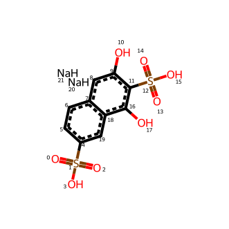 O=S(=O)(O)c1ccc2cc(O)c(S(=O)(=O)O)c(O)c2c1.[NaH].[NaH]